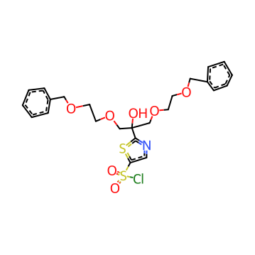 O=S(=O)(Cl)c1cnc(C(O)(COCCOCc2ccccc2)COCCOCc2ccccc2)s1